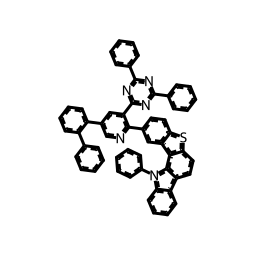 c1ccc(-c2nc(-c3ccccc3)nc(-c3cc(-c4ccccc4-c4ccccc4)cnc3-c3ccc4sc5ccc6c7ccccc7n(-c7ccccc7)c6c5c4c3)n2)cc1